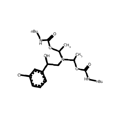 CCCCNC(=O)OC(C)N(CC(O)c1cccc(Cl)c1)C(C)OC(=O)NCCCC